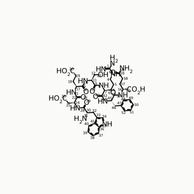 N=C(N)NCCC[C@H](NC(=O)[C@H](CO)NC(=O)[C@H](CCC(=O)O)NC(=O)[C@H](CC(=O)O)NC(=O)[C@@H](N)Cc1c[nH]c2ccccc12)C(=O)N[C@@H](Cc1ccccc1)C(=O)N[C@@H](CCC(N)=O)C(=O)O